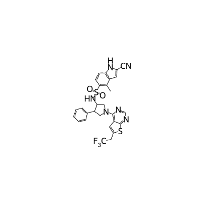 Cc1c(S(=O)(=O)NC2CN(c3ncnc4sc(CC(F)(F)F)cc34)CC2c2ccccc2)ccc2[nH]c(C#N)cc12